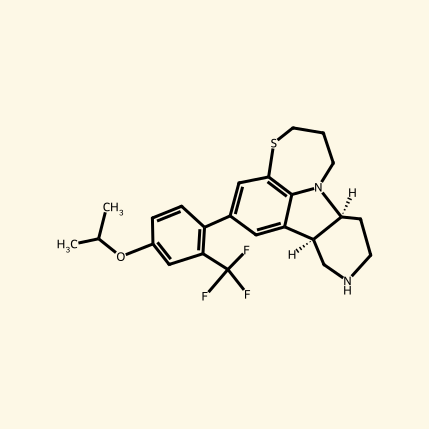 CC(C)Oc1ccc(-c2cc3c4c(c2)[C@@H]2CNCC[C@@H]2N4CCCS3)c(C(F)(F)F)c1